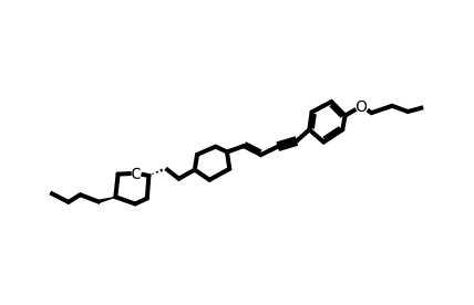 CCCCOc1ccc(C#C/C=C/C2CCC(CC[C@H]3CC[C@H](CCCC)CC3)CC2)cc1